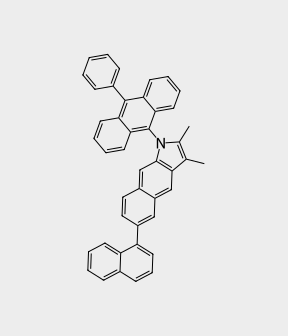 Cc1c(C)n(-c2c3ccccc3c(-c3ccccc3)c3ccccc23)c2cc3ccc(-c4cccc5ccccc45)cc3cc12